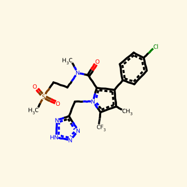 Cc1c(-c2ccc(Cl)cc2)c(C(=O)N(C)CCS(C)(=O)=O)n(Cc2nn[nH]n2)c1C(F)(F)F